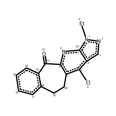 CCn1ncc2c(Cl)c3c(nc21)C(=O)c1ccccc1CC3